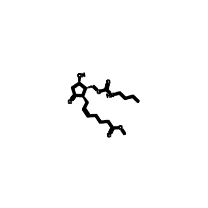 CCCCNC(=O)OC[C@H]1[C@H](O)CC(=O)[C@@H]1C/C=C\CCCC(=O)OC